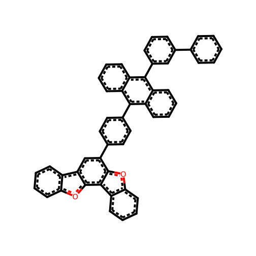 c1ccc(-c2cccc(-c3c4ccccc4c(-c4ccc(-c5cc6c7ccccc7oc6c6c5oc5ccccc56)cc4)c4ccccc34)c2)cc1